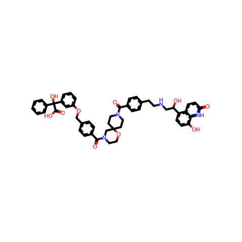 O=C(c1ccc(CCNCC(O)c2ccc(O)c3[nH]c(=O)ccc23)cc1)N1CCC2(CC1)CN(C(=O)c1ccc(COc3cccc(C(O)(C(=O)O)c4ccccc4)c3)cc1)CCO2